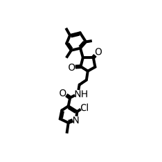 Cc1cc(C)c(C2C(=O)CC(CCNC(=O)c3ccc(C)nc3Cl)C2=O)c(C)c1